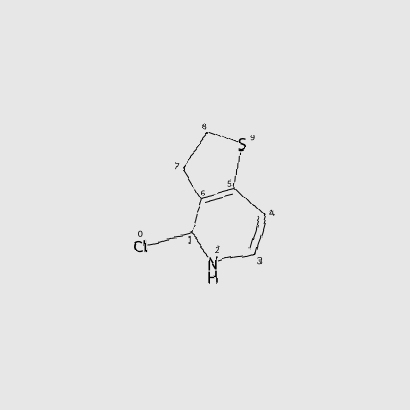 ClC1NC=CC2=C1CCS2